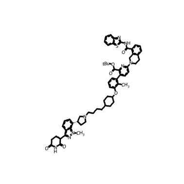 Cc1c(OC2CCC(CCCCN3CC[C@H](c4cccc5c(C6CCC(=O)NC6=O)nn(C)c45)C3)CC2)cccc1-c1ccc(N2CCc3cccc(C(=O)Nc4nc5ccccc5s4)c3C2)nc1C(=O)OC(C)(C)C